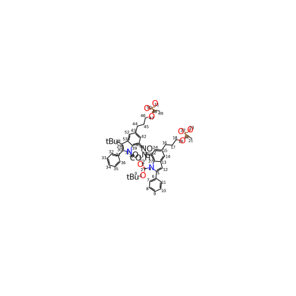 CC(C)(C)OC(=O)n1c(-c2ccccc2)cc2cc(CCCOS(C)(=O)=O)cc([N+](=O)[O-])c21.CC(C)(C)c1c(-c2ccccc2)n(C(=O)O)c2c([N+](=O)[O-])cc(CCCOS(C)(=O)=O)cc12